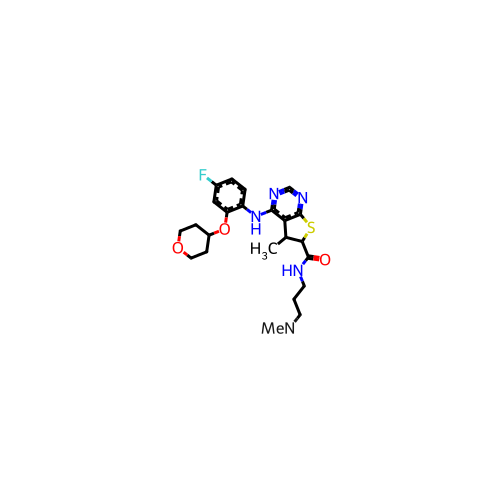 CNCCCNC(=O)C1Sc2ncnc(Nc3ccc(F)cc3OC3CCOCC3)c2C1C